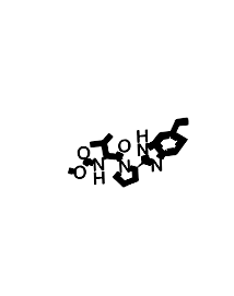 C=Cc1ccc2nc([C@@H]3CCCN3C(=O)[C@@H](NC(=O)OC)C(C)C)[nH]c2c1